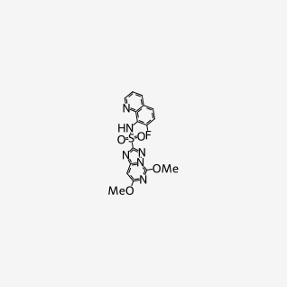 COc1cc2nc(S(=O)(=O)Nc3c(F)ccc4cccnc34)nn2c(OC)n1